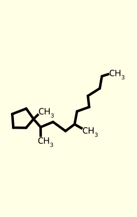 CCCCCCC(C)CCC(C)C1(C)CCCC1